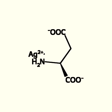 N[C@@H](CC(=O)[O-])C(=O)[O-].[Ag+2]